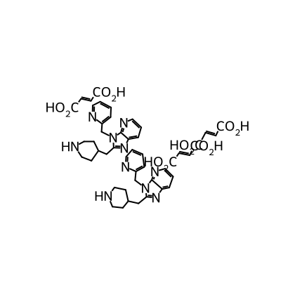 O=C(O)C=CC(=O)O.O=C(O)C=CC(=O)O.O=C(O)C=CC(=O)O.c1ccc(Cn2c(CC3CCNCC3)nc3cccnc32)nc1.c1ccc(Cn2c(CC3CCNCC3)nc3cccnc32)nc1